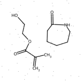 C=C(C)C(=O)OCCO.O=C1CCCCCN1